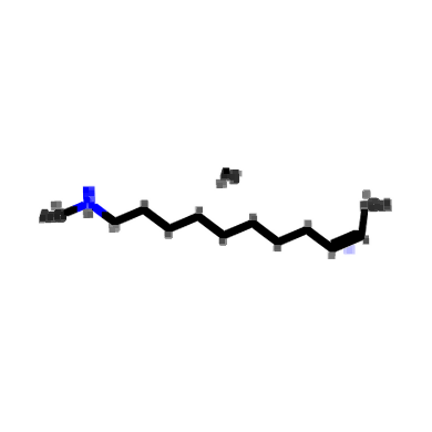 CCCCCCCC/C=C\CCCCCCCCNOC(C)=O.[Ag]